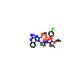 CCCCOC(=O)[C@H](C)N[P@@](=O)(Oc1ccc(Cl)cc1)O[C@H](C)Cn1c(COCC)nc2c(N)nc3ccccc3c21